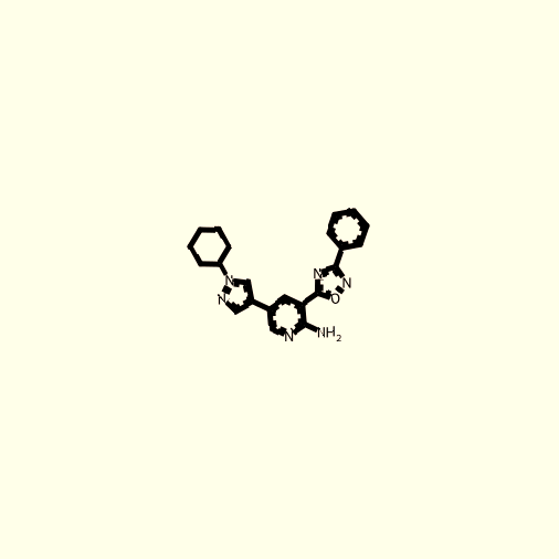 Nc1ncc(-c2cnn(C3CCCCC3)c2)cc1-c1nc(-c2ccccc2)no1